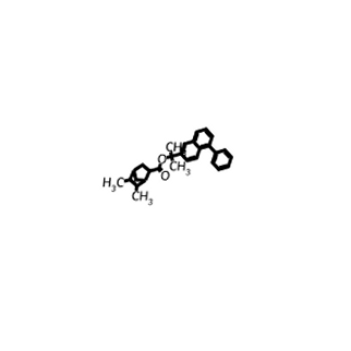 CC1C2CC(C(=O)OC(C)(C)c3ccc4c(-c5ccccc5)cccc4c3)C(C2)C1C